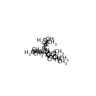 COc1nc(N(C)C)ccc1-c1nc2nc(OC3CC(C(C)(C)O)C3)n(COCC[Si](C)(C)C)c2cc1Cl